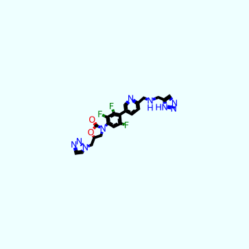 O=C1OC(Cn2ccnn2)CN1c1cc(F)c(-c2ccc(CNCc3cnn[nH]3)nc2)c(F)c1F